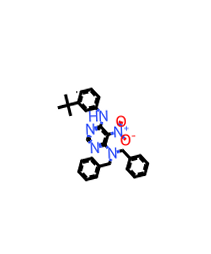 CC(C)(C)c1[c]ccc(Nc2ncnc(N(Cc3ccccc3)Cc3ccccc3)c2[N+](=O)[O-])c1